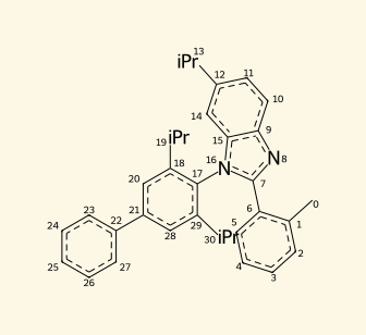 Cc1ccccc1-c1nc2ccc(C(C)C)cc2n1-c1c(C(C)C)cc(-c2ccccc2)cc1C(C)C